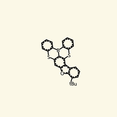 CC(C)(C)c1cccc2c1oc1cc3c4c(c12)Sc1ccccc1B4c1ccccc1S3